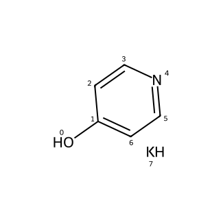 Oc1ccncc1.[KH]